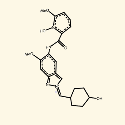 COc1cc2c(cc1NC(=O)c1cccc(OC)[n+]1O)=C/[N+](=C\C1CCC(O)CC1)N=2